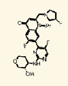 CC(C)n1c(CN2CC[C@@H](F)C2)cc(=O)c2cc(F)c(-c3nc(N[C@@H]4CCOC[C@H]4O)ncc3F)cc21